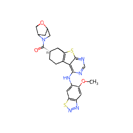 COc1cc2nnsc2cc1Nc1ncnc2sc3c(c12)CC[C@H](C(=O)N1CC2CC1CO2)C3